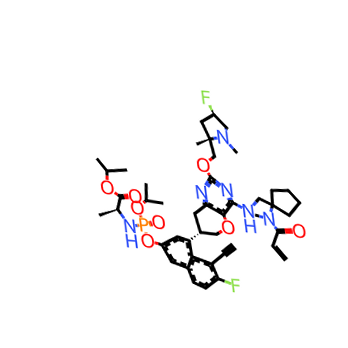 C#Cc1c(F)ccc2cc(OP(=O)(N[C@@H](C)C(=O)OC(C)C)OC(C)C)cc([C@H]3COc4c(nc(OC[C@]5(C)C[C@@H](F)CN5C)nc4NCC4(N(C)C(=O)C=C)CCCC4)C3)c12